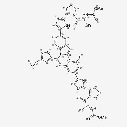 COC(=O)NC(C(=O)N1CCC[C@H]1c1ncc(-c2cc(F)c3c(c2)OC(c2cc(C4CC4)no2)n2c-3cc3cc(-c4cnc([C@@H]5CCCN5C(=O)C(NC(=O)OC)C(C)C)[nH]4)ccc32)[nH]1)C(C)C